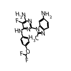 Cc1nc2ccc(N)cc2n1-c1nc(N)c(F)c(Nc2ccc(OC(F)F)cc2)n1